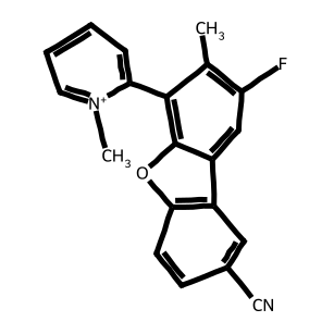 Cc1c(F)cc2c(oc3ccc(C#N)cc32)c1-c1cccc[n+]1C